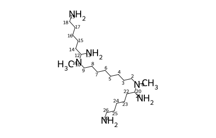 CN(CCCCCCCCN(C)C(N)CCCCCN)C(N)CCCCCN